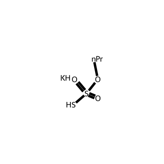 CCCOS(=O)(=O)S.[KH]